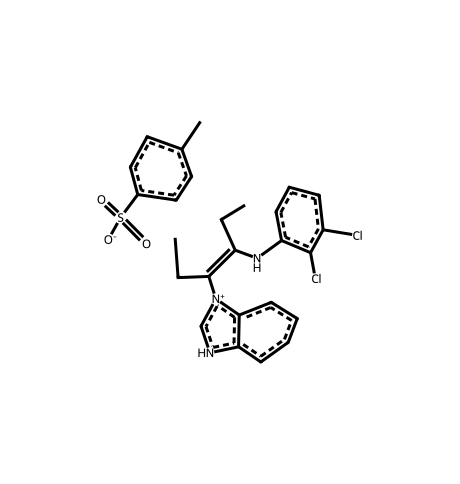 CCC(Nc1cccc(Cl)c1Cl)=C(CC)[n+]1c[nH]c2ccccc21.Cc1ccc(S(=O)(=O)[O-])cc1